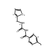 Cc1ccc(C(=O)NC(=S)NCc2ccco2)cc1